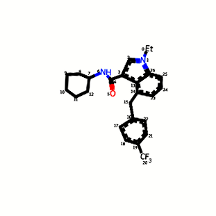 CCn1cc(C(=O)NC2CCCCC2)c2c(Cc3ccc(C(F)(F)F)cc3)cccc21